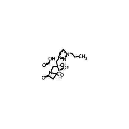 CCC[n+]1ccn(C[C@]2(C)[C@@H](C(=O)O)N3C(=O)C[C@H]3S2(=O)=O)n1